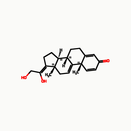 C[C@]12C=CC(=O)C=C1CC[C@@H]1C2=CC[C@]2(C)C(=C(O)CO)CC[C@@H]12